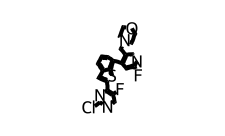 Fc1cc(-c2cccc3cc(-c4nc(Cl)ncc4F)sc23)c(CN2CCOCC2)cn1